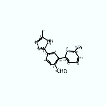 Cc1nnc(-c2ccc(C=O)c(-c3cccc(C(C)C)n3)c2)[nH]1